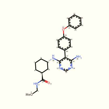 COCNC(=O)[C@H]1CCC[C@H](Nc2ncnc(N)c2-c2ccc(Oc3ccccc3)cc2)C1